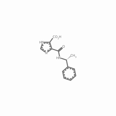 C[C@@H](NC(=O)c1nc[nH]c1C(=O)O)c1ccccc1